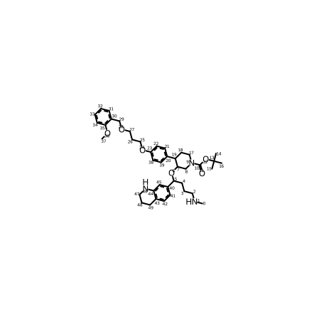 CNCCCC(OC1CN(C(=O)OC(C)(C)C)CCC1c1ccc(OCCCOCc2ccccc2OC)cc1)c1ccc2c(c1)NCCC2